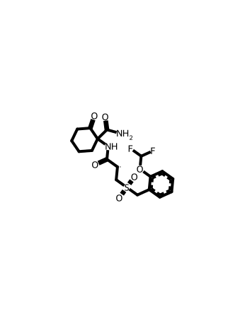 NC(=O)C1(NC(=O)[CH]CS(=O)(=O)Cc2ccccc2OC(F)F)CCCCC1=O